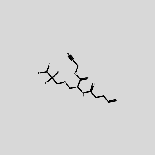 C=CCCC(=O)N[C@@H](COCC(F)(F)C(F)F)C(=O)OCC#N